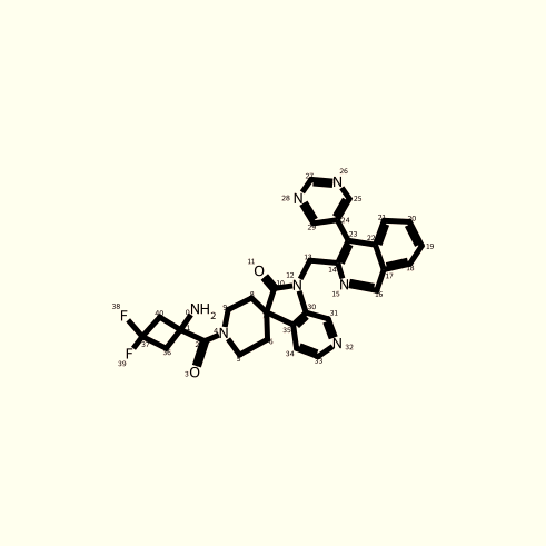 NC1(C(=O)N2CCC3(CC2)C(=O)N(Cc2ncc4ccccc4c2-c2cncnc2)c2cnccc23)CC(F)(F)C1